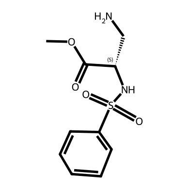 COC(=O)[C@H](CN)NS(=O)(=O)c1ccccc1